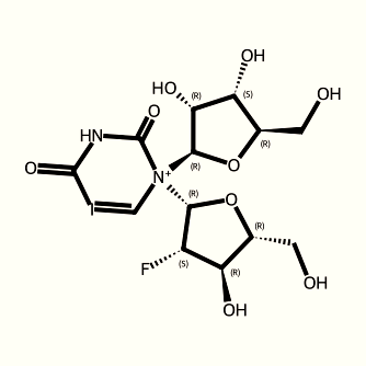 O=C1NC(=O)[N+]([C@@H]2O[C@H](CO)[C@@H](O)[C@H]2O)([C@@H]2O[C@H](CO)[C@@H](O)[C@@H]2F)C=I1